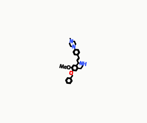 COc1cc2c(cc1OCc1ccccc1)CCNC2/C=C/c1ccc(N2CCN(C)CC2)cc1